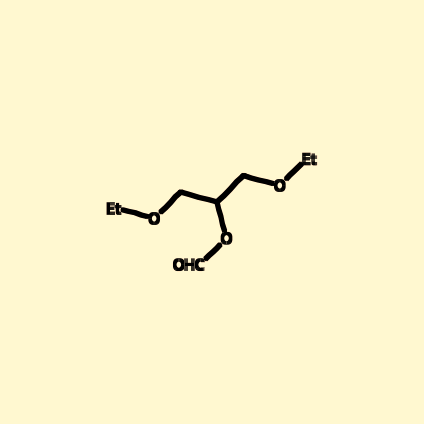 CCOCC(COCC)OC=O